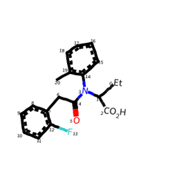 CCC(C(=O)O)N(C(=O)Cc1ccccc1F)c1ccccc1C